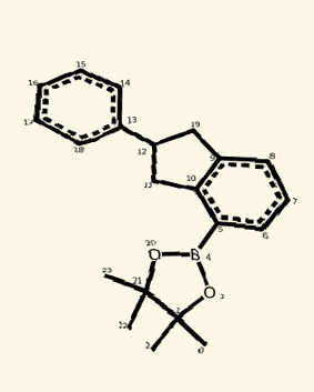 CC1(C)OB(c2cccc3c2CC(c2ccccc2)C3)OC1(C)C